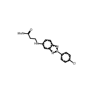 CNC(=O)CCNc1ccc2nn(-c3ccc(Cl)cc3)nc2c1